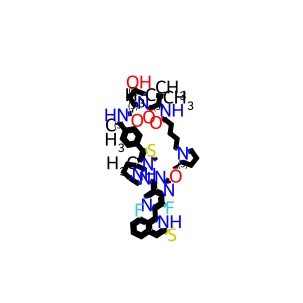 Cc1ncsc1-c1ccc([C@H](C)NC(=O)[C@@H]2C[C@@H](O)CN2C(=O)[C@@H](NC(=O)CCCCN2CCC[C@H]2COc2nc(N3CC4CCC(C3)N4)c3cnc(-c4[nH]c(=S)cc5cccc(F)c45)c(F)c3n2)C(C)(C)C)cc1